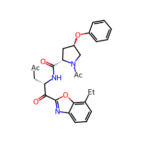 CCc1cccc2nc(C(=O)[C@H](CC(C)=O)NC(=O)[C@@H]3C[C@@H](Oc4ccccc4)CN3C(C)=O)oc12